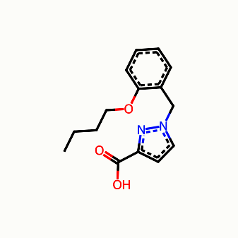 CCCCOc1ccccc1Cn1ccc(C(=O)O)n1